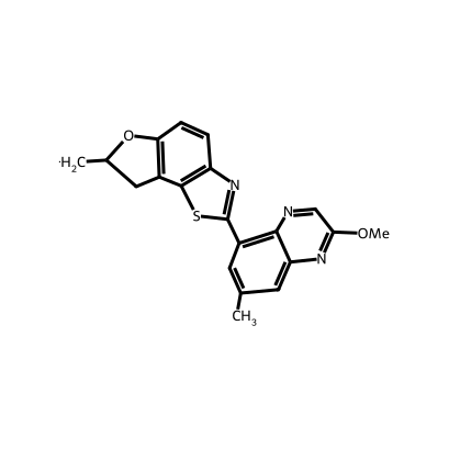 [CH2]C1Cc2c(ccc3nc(-c4cc(C)cc5nc(OC)cnc45)sc23)O1